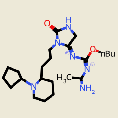 CCCCOC(=N/C(C)N)/N=C1\CNC(=O)N1CCCC1CCCCN1C1CCCC1